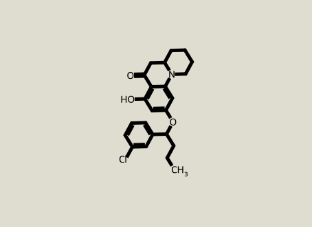 CCCC(Oc1cc(O)c2c(c1)N1CCCCC1CC2=O)c1cccc(Cl)c1